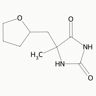 CC1(CC2CCCO2)NC(=O)NC1=O